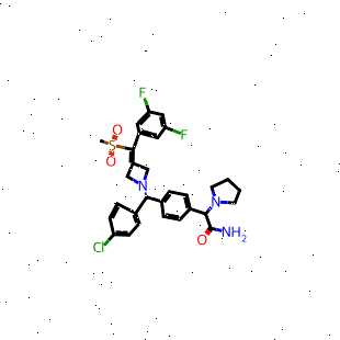 CS(=O)(=O)C(=C1CN([C@@H](c2ccc(Cl)cc2)c2ccc(C(C(N)=O)N3CCCC3)cc2)C1)c1cc(F)cc(F)c1